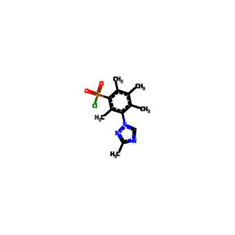 Cc1ncn(-c2c(C)c(C)c(C)c(S(=O)(=O)Cl)c2C)n1